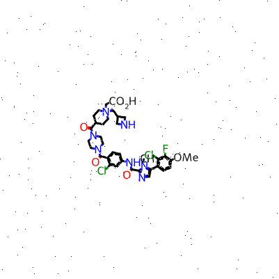 COc1ccc(-c2cnc(C(=O)Nc3ccc(C(=O)N4CCN(C(=O)C5CC[N+](CC(=O)O)(CC6CNC6)CC5)CC4)c(Cl)c3)n2C)c(Cl)c1F